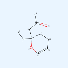 CCC1(CC(C)=O)CCC=CO1